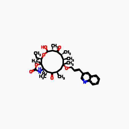 CC[C@H]1OC(O)[C@H](C)C(=O)[C@H](C)[C@@H](C)[C@](C)(OC/C=C/c2cnc3ccccc3c2)C[C@@H](C)C(=O)[C@H](C)[C@H]2NC(=O)O[C@@]21C